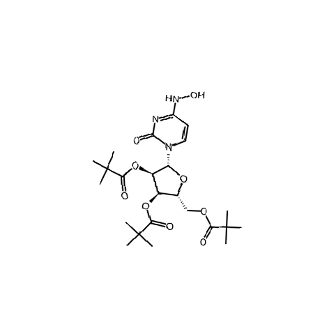 CC(C)(C)C(=O)OC[C@H]1O[C@@H](n2ccc(NO)nc2=O)[C@H](OC(=O)C(C)(C)C)[C@@H]1OC(=O)C(C)(C)C